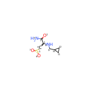 NC(=O)C(=C=S(=O)=O)NCC1CC1